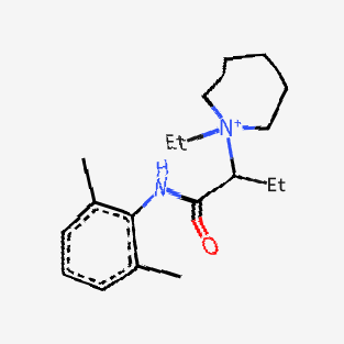 CCC(C(=O)Nc1c(C)cccc1C)[N+]1(CC)CCCCC1